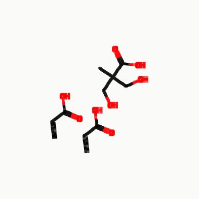 C=CC(=O)O.C=CC(=O)O.CC(CO)(CO)C(=O)O